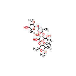 C=C(O)C1O[C@@H](O[C@H]2C(C)O[C@@H](OC)C(C)[C@H]2OC)C(O)[C@@H](O)[C@H]1O[C@@H]1OC[C@H](O[C@@H]2OC(C)C(O)CC2OC)CC1C